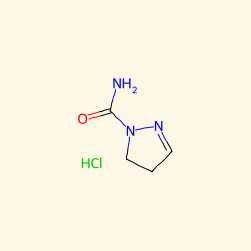 Cl.NC(=O)N1CCC=N1